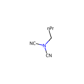 CCCCN(C#N)C#N